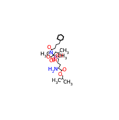 CC(C)COC(=O)C(N)CCCP(=O)(O)[C@](CC(C)C)(C(=O)O)N(C)C(=O)CCCc1ccccc1